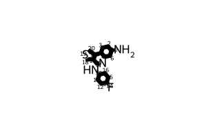 Nc1ccc2c(c1)nc(Nc1ccc(F)cc1)c1cscc12